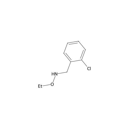 CCONCc1ccccc1Cl